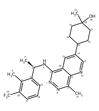 Cc1c([C@@H](C)Nc2nnc(C)c3ncc(C4CCC(C)(O)CC4)cc23)cccc1C(F)(F)F